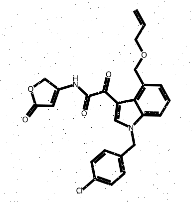 C=CCOCc1cccc2c1c(C(=O)C(=O)NC1=CC(=O)OC1)cn2Cc1ccc(Cl)cc1